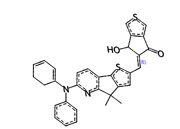 CC1(C)c2cc(/C=C3/C(=O)c4cscc4C3O)sc2-c2ccc(N(C3=CC=CCC3)c3ccccc3)nc21